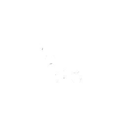 C=C1CCc2cc(CNC(=C)C(F)(F)c3cccc(C)c3)ccc21